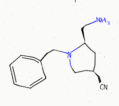 N#C[C@@H]1C[C@H](CN)N(Cc2ccccc2)C1